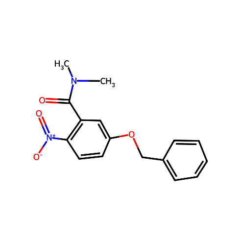 CN(C)C(=O)c1cc(OCc2ccccc2)ccc1[N+](=O)[O-]